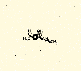 CCCCNCC1OB(O)c2cc(C(C)C)ccc21